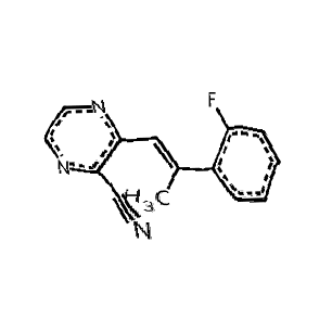 C/C(=C\c1nccnc1C#N)c1ccccc1F